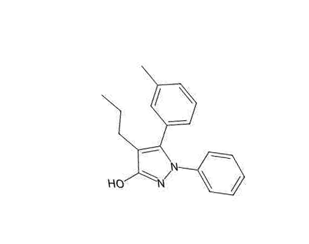 CCCc1c(O)nn(-c2ccccc2)c1-c1cccc(C)c1